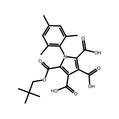 Cc1cc(C)c(-n2c(C(=O)O)c(C(=O)O)c(C(=O)O)c2C(=O)OCC(C)(C)C)c(C)c1